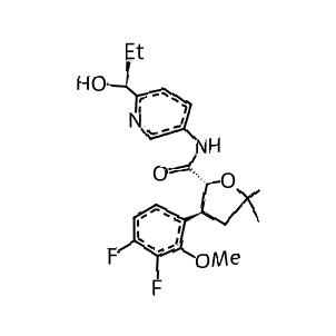 CC[C@H](O)c1ccc(NC(=O)[C@@H]2OC(C)(C)C[C@H]2c2ccc(F)c(F)c2OC)cn1